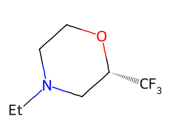 CCN1CCO[C@H](C(F)(F)F)C1